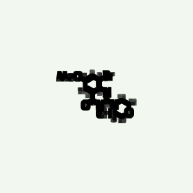 COc1cc(Br)c2nc(N3CCOCC3)n(C)c(=O)c2c1